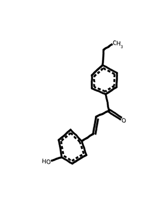 CCc1ccc(C(=O)C=Cc2ccc(O)cc2)cc1